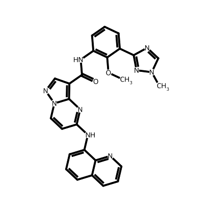 COc1c(NC(=O)c2cnn3ccc(Nc4cccc5cccnc45)nc23)cccc1-c1ncn(C)n1